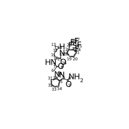 NC(=O)c1nn(CC(=O)N[C@@H](CC2CC2)C(=O)Nc2cccc(S(F)(F)(F)(F)F)c2)c2ccccc12